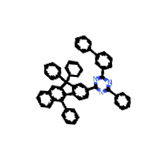 C1=CCCC(C2(c3ccccc3)c3cc(-c4nc(-c5ccccc5)nc(-c5cccc(-c6ccccc6)c5)n4)ccc3-c3c2cc2ccccc2c3-c2ccccc2)=C1